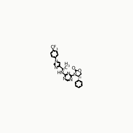 C[C@H](Nc1ncnc(N2C(=O)OC[C@@H]2c2ccccc2)n1)c1cn(-c2ccc(C(F)(F)F)cc2)cn1